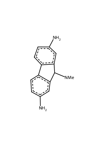 CNC1c2cc(N)ccc2-c2ccc(N)cc21